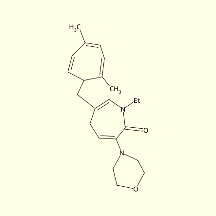 CCN1C=C(CC2C=CC(C)=CC=C2C)CC=C(N2CCOCC2)C1=O